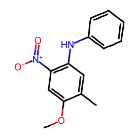 COc1cc([N+](=O)[O-])c(Nc2ccccc2)cc1C